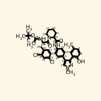 Cc1ccc(O)c(-c2nn(C)cc2-c2ccc(NC(=O)C3CCCCN3C(=O)[C@H](Cc3ccc(Cl)cc3Cl)NC(=O)OC(C)(C)C)cc2)c1